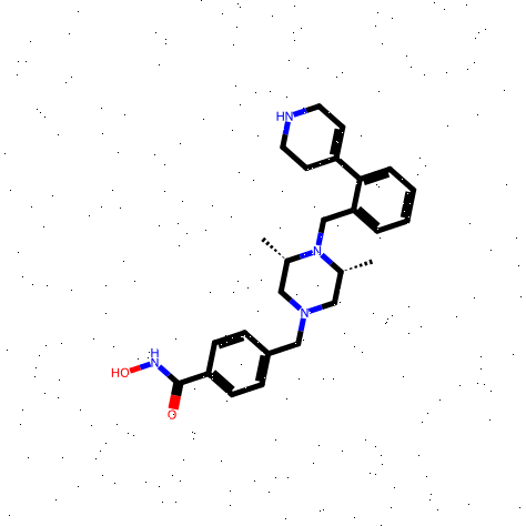 C[C@@H]1CN(Cc2ccc(C(=O)NO)cc2)C[C@H](C)N1Cc1ccccc1C1=CCNCC1